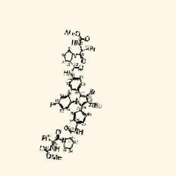 COC(=O)N[C@H](C(=O)N1CCC[C@H]1C(=O)Nc1ccc(-c2c(Br)c(C(C)(C)C)c(-c3ccc(NC(=O)[C@@H]4CCCN4C(=O)[C@@H](NC(=O)OC)C(C)C)cc3)n2-c2ccc(F)cc2)cc1)C(C)C